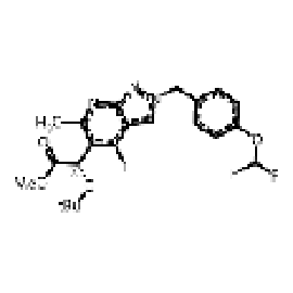 COC(=O)[C@@H](OC(C)(C)C)c1c(C)nc2nn(Cc3ccc(OC(F)F)cc3)cc2c1I